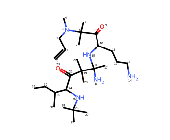 C=CCN(C)C(C)(C)C(=O)C(CCCN)NC(C)(N)C(C)(C)C(=O)C(NC(C)(C)C)C(C)CC